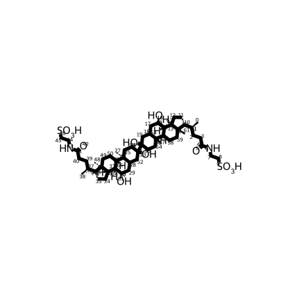 C[C@@H](CCC(=O)NCCS(=O)(=O)O)[C@H]1CC[C@@H]2[C@H]3[C@H](O)CC4CC(O)(C5(O)CC[C@@]6(C)C(C[C@H](O)[C@H]7[C@@H]8CC[C@H]([C@@H](C)CCC(=O)NCCS(=O)(=O)O)[C@@]8(C)CC[C@@H]76)C5)CC[C@@]4(C)[C@@H]3CC[C@]21C